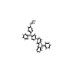 OBOc1ccc(N(c2ccc(-c3ccc4c(c3)c3ccccc3n4-c3ccccc3)cc2)c2ccccn2)cc1